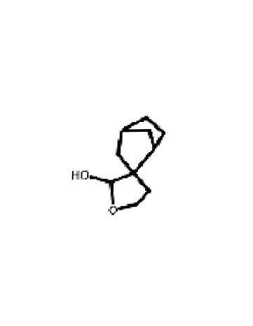 OC1OCCC12CC1CCC2C1